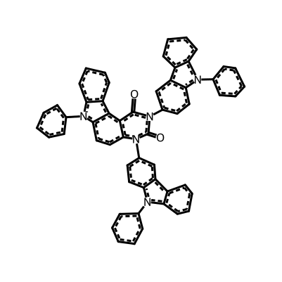 O=c1c2c3c4ccccc4n(-c4ccccc4)c3ccc2n(-c2ccc3c(c2)c2ccccc2n3-c2ccccc2)c(=O)n1-c1ccc2c(c1)c1ccccc1n2-c1ccccc1